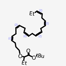 CC/C=C\C/C=C\C/C=C\C/C=C\C/C=C\C/C=C\CCCOC(CC)C(=O)OC(C)(C)C